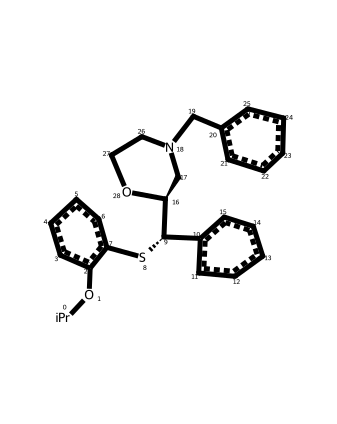 CC(C)Oc1ccccc1S[C@@H](c1ccccc1)[C@@H]1CN(Cc2ccccc2)CCO1